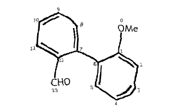 COc1ccccc1-c1ccccc1C=O